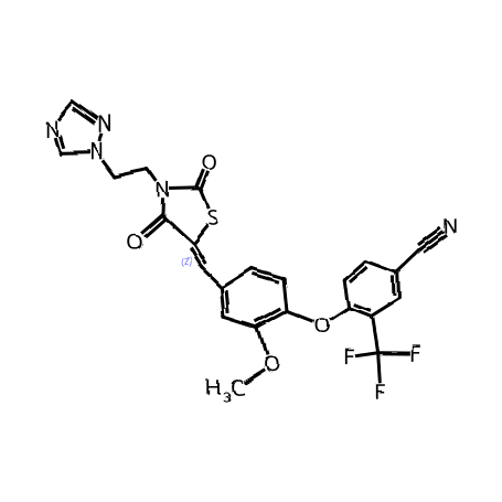 COc1cc(/C=C2\SC(=O)N(CCn3cncn3)C2=O)ccc1Oc1ccc(C#N)cc1C(F)(F)F